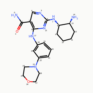 NC(=O)c1cnc(N[C@@H]2CCCC[C@@H]2N)nc1Nc1cccc(N2CCOCC2)c1